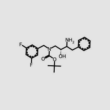 CC(C)(C)OC(=O)N(Cc1cc(F)cc(F)c1)C[C@@H](O)C(N)Cc1ccccc1